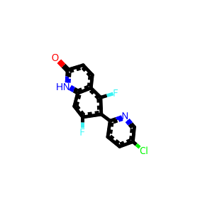 O=c1ccc2c(F)c(-c3ccc(Cl)cn3)c(F)cc2[nH]1